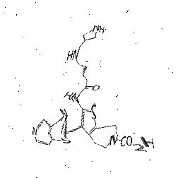 O=C(CCNC1CNC1)Nc1sc2c(c1-c1nc3cnccc3s1)CCN(C(=O)O)C2